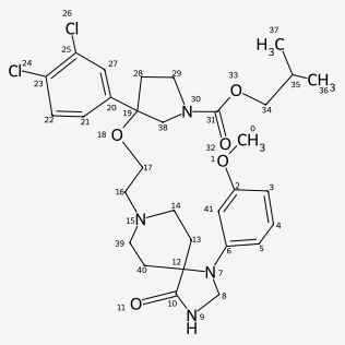 COc1cccc(N2CNC(=O)C23CCN(CCOC2(c4ccc(Cl)c(Cl)c4)CCN(C(=O)OCC(C)C)C2)CC3)c1